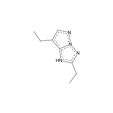 CCc1nn2ncc(CC)c2[nH]1